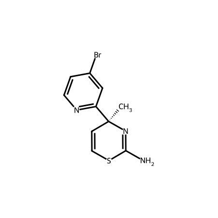 C[C@@]1(c2cc(Br)ccn2)C=CSC(N)=N1